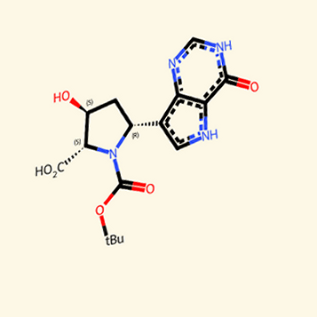 CC(C)(C)OC(=O)N1[C@@H](c2c[nH]c3c(=O)[nH]cnc23)C[C@H](O)[C@H]1C(=O)O